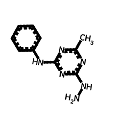 Cc1nc(NN)nc(Nc2ccccc2)n1